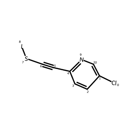 Clc1ccc(C#CSI)nc1